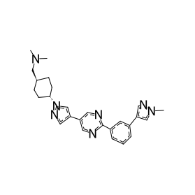 CN(C)C[C@H]1CC[C@H](n2cc(-c3cnc(-c4cccc(-c5cnn(C)c5)c4)nc3)cn2)CC1